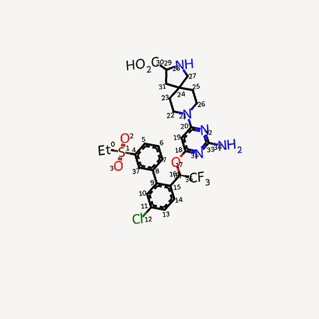 CCS(=O)(=O)c1cccc(-c2cc(Cl)ccc2[C@@H](Oc2cc(N3CCC4(CC3)CNC(C(=O)O)C4)nc(N)n2)C(F)(F)F)c1